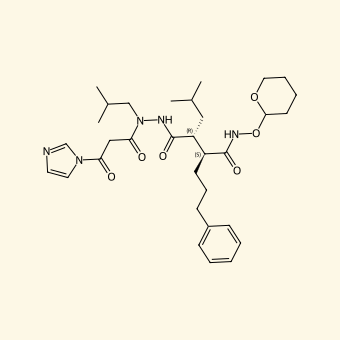 CC(C)C[C@@H](C(=O)NN(CC(C)C)C(=O)CC(=O)n1ccnc1)[C@H](CCCc1ccccc1)C(=O)NOC1CCCCO1